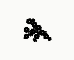 CC(C)(C)c1ccc(N2B3c4cc5nc(-c6ccccc6)n(-c6ccccc6)c5cc4-n4c5cc6c(cc5c5ccc(c3c54)-c3cc4sc5cc(C(C)(C)C)ccc5c4cc32)C(C)(C)c2ccccc2-6)cc1